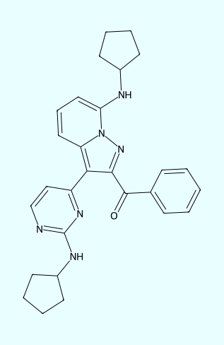 O=C(c1ccccc1)c1nn2c(NC3CCCC3)cccc2c1-c1ccnc(NC2CCCC2)n1